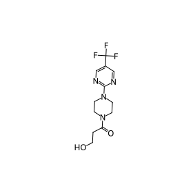 O=C(CCO)N1CCN(c2ncc(C(F)(F)F)cn2)CC1